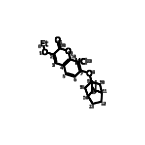 CCOc1cc2ccc(OC3CC4CCC(C3)N4)cc2oc1=O.Cl